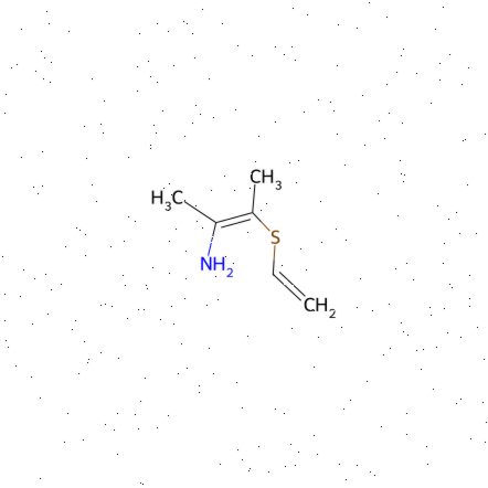 C=CSC(C)=C(C)N